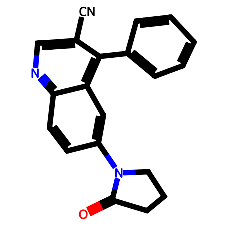 N#Cc1cnc2ccc(N3CCCC3=O)cc2c1-c1ccccc1